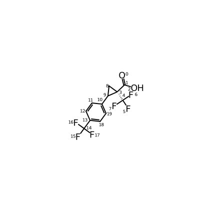 O=C(O)[C@]1(C(F)(F)F)CC1c1ccc(C(F)(F)F)cc1